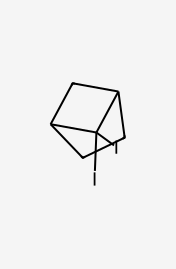 IC1(I)C2CCC1C2